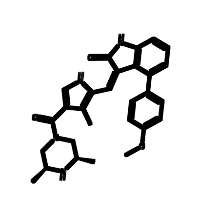 COc1ccc(-c2cccc3c2/C(=C/c2[nH]cc(C(=O)N4C[C@@H](C)N[C@@H](C)C4)c2C)C(=O)N3)cc1